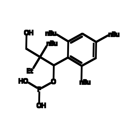 CCCCc1cc(CCCC)c(C(OP(O)O)C(CC)(CO)CCCC)c(CCCC)c1